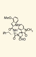 COc1cccc2[nH]c(C(=O)N[C@@H](CCC(C)C)C(=O)N3C[C@]4(C[C@H]3C=O)C(=O)N(C)c3ccccc34)cc12